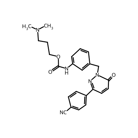 CN(C)CCCOC(=O)Nc1cccc(Cn2nc(-c3ccc(C#N)cc3)ccc2=O)c1